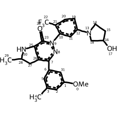 COc1cc(C)cc(-c2nn(-c3cc(N4CCC(O)C4)ccc3C(F)(F)F)c(=O)c3c2CC(C)N3)c1